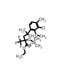 CCOC(=O)C(CC(C)(C)c1ccc(C)c(Cl)c1OC)(O[Si](C)(C)C)C(F)(F)F